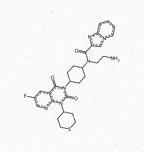 NCCN(C(=O)c1cn2ccccc2n1)C1CCC(n2c(=O)c3cc(F)cnc3n(C3CCSCC3)c2=O)CC1